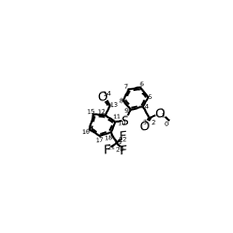 COC(=O)c1ccccc1Sc1c(C=O)cccc1C(F)(F)F